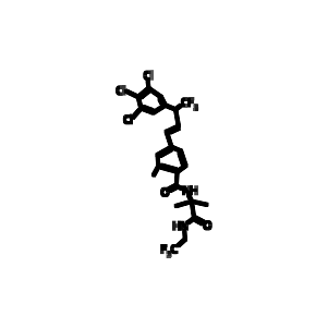 Cc1cc(C=CC(c2cc(Cl)c(Cl)c(Cl)c2)C(F)(F)F)ccc1C(=O)NC(C)(C)C(=O)NCC(F)(F)F